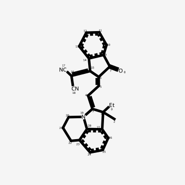 CCC1(C)C(=CC=C2C(=O)c3ccccc3C2=C(C#N)C#N)N2CCCc3cccc1c32